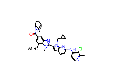 COc1cc(C(=O)N2CC3CCC2C3C)cc2nc(-c3cc4ccc(Nc5ccnc(C)c5Cl)nc4n3CC3CC3)n(C)c12